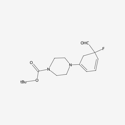 CC(C)(C)OC(=O)N1CCN(C2=CC=CC(F)(C=O)C2)CC1